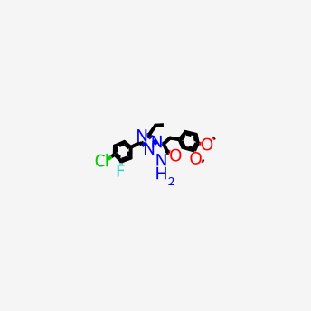 CCc1nc(-c2ccc(Cl)c(F)c2)nn1C(Cc1ccc(OC)c(OC)c1)C(N)=O